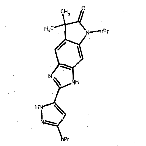 CCCc1cc(-c2nc3cc4c(cc3[nH]2)N(CCC)C(=O)C4(C)C)[nH]n1